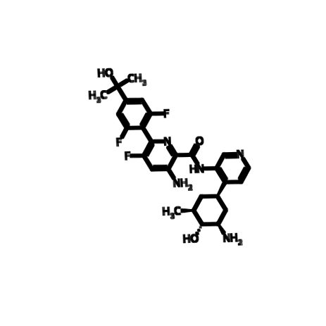 C[C@H]1C[C@@H](c2ccncc2NC(=O)c2nc(-c3c(F)cc(C(C)(C)O)cc3F)c(F)cc2N)C[C@@H](N)[C@@H]1O